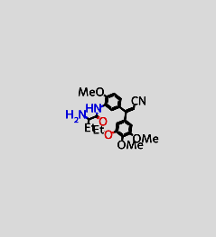 CCOc1cc(C(=CC#N)c2ccc(OC)c(NC(=O)C(N)CC)c2)cc(OC)c1OC